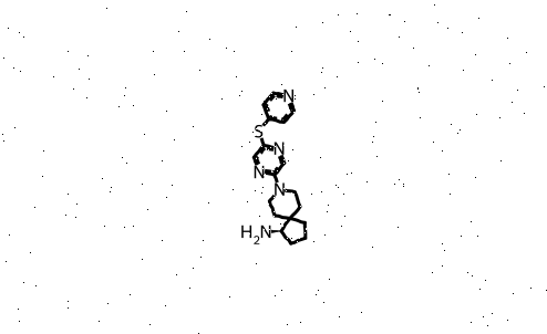 N[C@@H]1CCCC12CCN(c1cnc(Sc3ccncc3)cn1)CC2